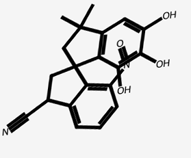 CC1(C)CC2(CC(C#N)c3cccc(N=O)c32)c2c1cc(O)c(O)c2O